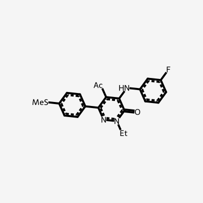 CCn1nc(-c2ccc(SC)cc2)c(C(C)=O)c(Nc2cccc(F)c2)c1=O